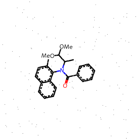 COC(OC)C(C)N(C(=O)c1ccccc1)c1c(C)ccc2ccccc12